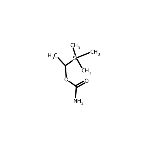 CC(OC(N)=O)[Si](C)(C)C